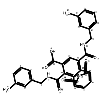 Cc1cccc(CNC(=N)c2c(C(=O)O)cc(C(=O)NCc3cccc(C)c3)c3c4ccc(c(=O)[nH]c4=O)c23)c1